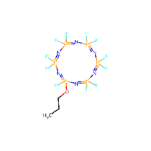 CCCOP1(F)=NP(F)(F)=NP(F)(F)=NP(F)(F)=NP(F)(F)=NP(F)(F)=N1